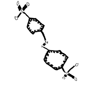 O=S(=O)(Cl)c1ccc(N=Nc2ccc(S(=O)(=O)Cl)cc2)cc1